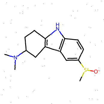 CN(C)C1CCc2[nH]c3ccc([S+](C)[O-])cc3c2C1